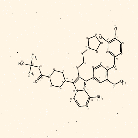 COc1cc(-c2c(CCCN3CCCC3)c(C3CCN(C(=O)OC(C)(C)C)CC3)n3ncnc(N)c23)ccc1Oc1ccc(Cl)c(Cl)c1